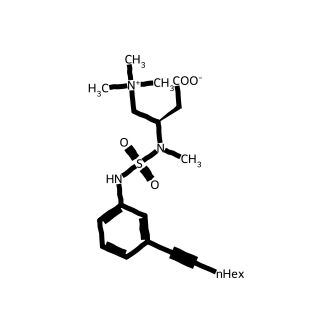 CCCCCCC#Cc1cccc(NS(=O)(=O)N(C)[C@H](CC(=O)[O-])C[N+](C)(C)C)c1